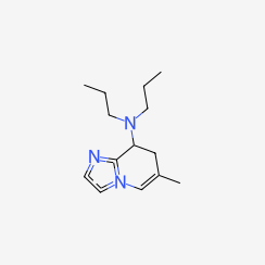 CCCN(CCC)C1CC(C)=Cn2ccnc21